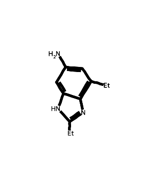 CCc1nc2c(CC)cc(N)cc2[nH]1